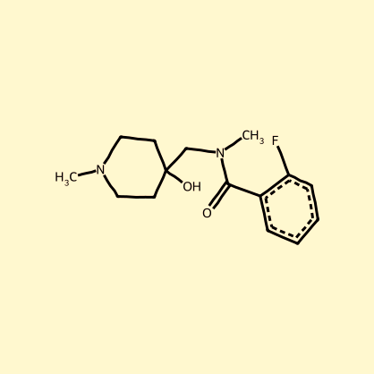 CN1CCC(O)(CN(C)C(=O)c2ccccc2F)CC1